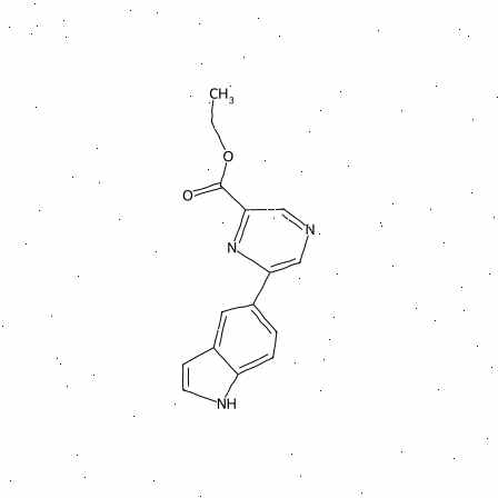 CCOC(=O)c1cncc(-c2ccc3[nH]ccc3c2)n1